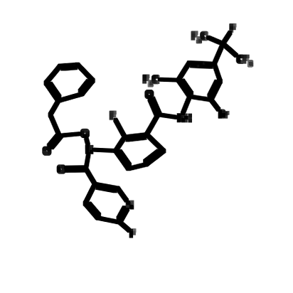 O=C(Cc1ccccc1)ON(C(=O)c1ccc(F)nc1)c1cccc(C(=O)Nc2c(Br)cc(C(F)(C(F)(F)F)C(F)(F)F)cc2C(F)(F)F)c1F